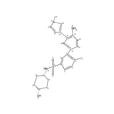 Cc1ccc(S(=O)(=O)N[C@H]2CC[C@@H](O)CC2)cc1-c1cnc(N)c(-c2cnn(C)c2)n1